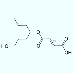 CCCC(CCCO)OC(=O)/C=C/C(=O)O